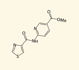 COC(=O)c1ccc(NC(=O)c2cscn2)nc1